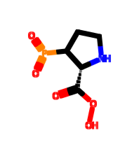 O=C(OO)[C@H]1NCCC1P(=O)=O